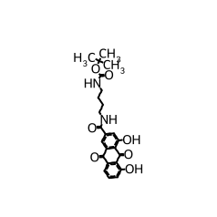 CC(C)(C)OC(=O)NCCCCNC(=O)c1cc(O)c2c(c1)C(=O)c1cccc(O)c1C2=O